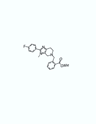 COC(=O)c1ccccc1CN1CCc2nc(-c3ccc(F)cc3)n(C)c2C1